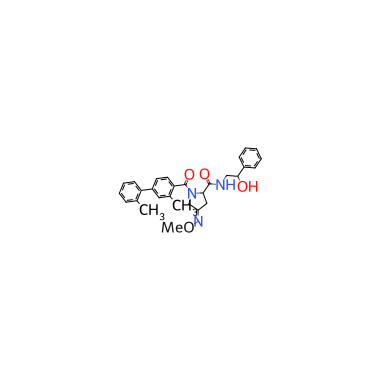 CON=C1CC(C(=O)NCC(O)c2ccccc2)N(C(=O)c2ccc(-c3ccccc3C)cc2C)C1